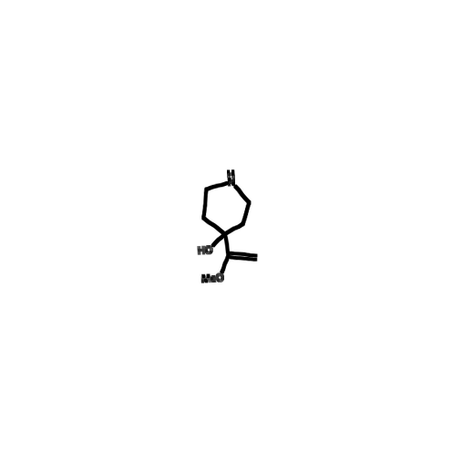 C=C(OC)C1(O)CCNCC1